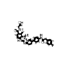 CCOc1c(Nc2nc3ccc(-c4ccc(NC(=O)Cc5ccc(F)cc5)cc4)cn3n2)ccc(C(=O)NCCO)c1C